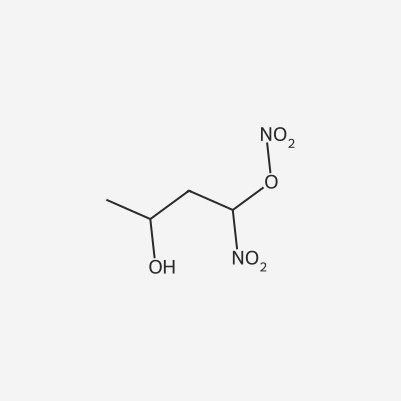 CC(O)CC(O[N+](=O)[O-])[N+](=O)[O-]